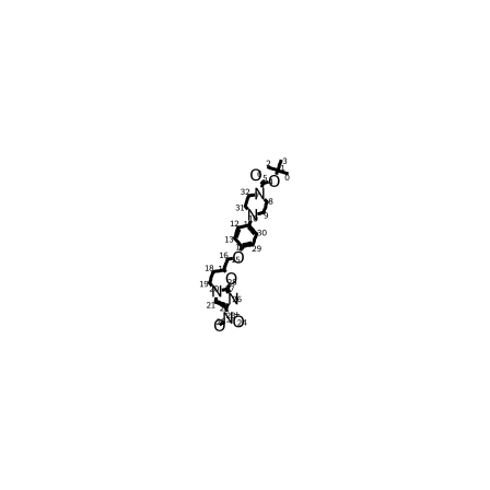 CC(C)(C)OC(=O)N1CCN(c2ccc(OCC3CCn4cc([N+](=O)[O-])nc4O3)cc2)CC1